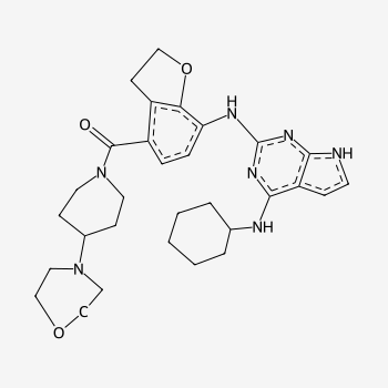 O=C(c1ccc(Nc2nc(NC3CCCCC3)c3cc[nH]c3n2)c2c1CCO2)N1CCC(N2CCOCC2)CC1